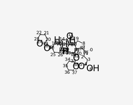 C[C@H](CCC(=O)O)[C@H]1CC[C@H]2[C@@H]3C(=O)C[C@@H]4C[C@H](OC5CCCCO5)CC[C@]4(C)[C@H]3C[C@H](OC3CCCCO3)[C@]12C